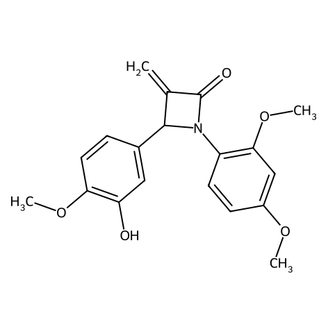 C=C1C(=O)N(c2ccc(OC)cc2OC)C1c1ccc(OC)c(O)c1